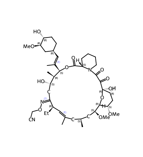 CC[C@@H]1/C=C(\C)C[C@H](C)C[C@H](OC)[C@H]2O[C@@](O)(C(=O)C(=O)N3CCCC[C@H]3C(=O)O[C@H](/C(C)=C/[C@@H]3CC[C@@H](O)[C@H](OC)C3)[C@H](C)[C@@H](O)C/C1=N/OCC#N)[C@H](C)C[C@@H]2OC